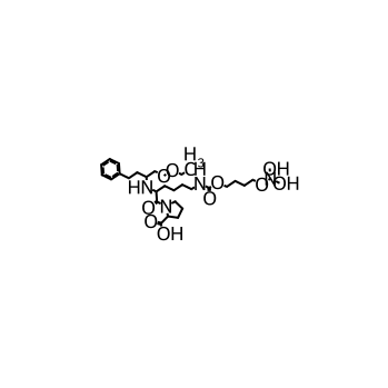 CCOOCC(CCc1ccccc1)NC(CCCCNC(=O)OCCCCON(O)O)C(=O)N1CCCC1C(=O)O